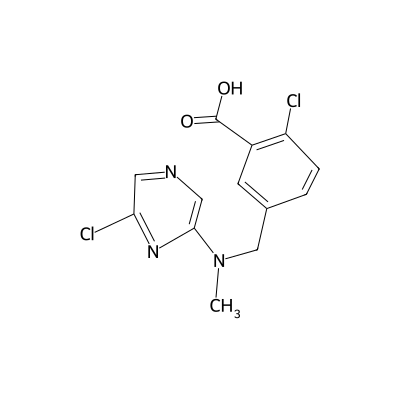 CN(Cc1ccc(Cl)c(C(=O)O)c1)c1cncc(Cl)n1